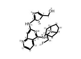 OCc1cnc(Nc2cc3ncccc3c(NC3CC4CCC(C3)N4CCF)n2)s1